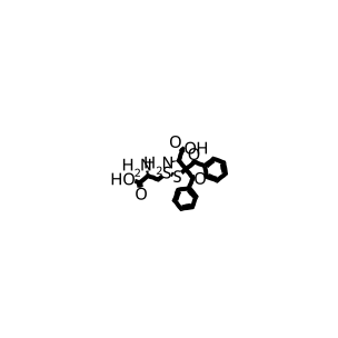 N[C@H](C(=O)O)C(SSC[C@H](N)C(=O)O)(C(=O)c1ccccc1)C(=O)c1ccccc1